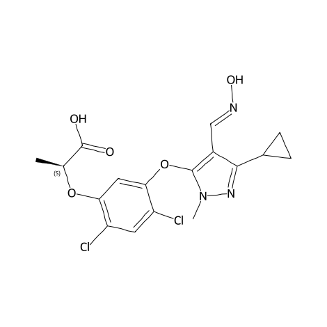 C[C@H](Oc1cc(Oc2c(C=NO)c(C3CC3)nn2C)c(Cl)cc1Cl)C(=O)O